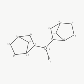 FB(C1CC2CCC1C2)C1CC2CCC1C2